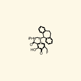 CC(C)N1CN(C2c3ccccc3CCc3ccccc32)n2cc(CF)c(=O)c(O)c2C1=O